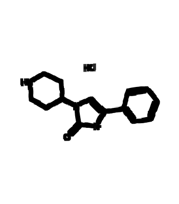 Cl.O=C1[N]C(c2ccccc2)=CN1C1CCNCC1